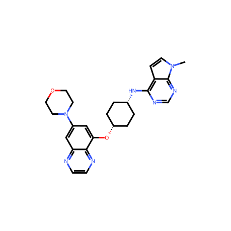 Cn1ccc2c(N[C@H]3CC[C@@H](Oc4cc(N5CCOCC5)cc5nccnc45)CC3)ncnc21